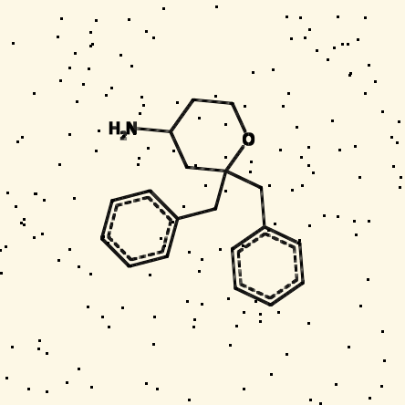 NC1CCOC(Cc2ccccc2)(Cc2ccccc2)C1